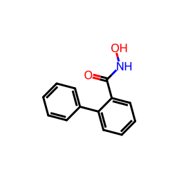 O=C(NO)c1ccccc1-c1ccccc1